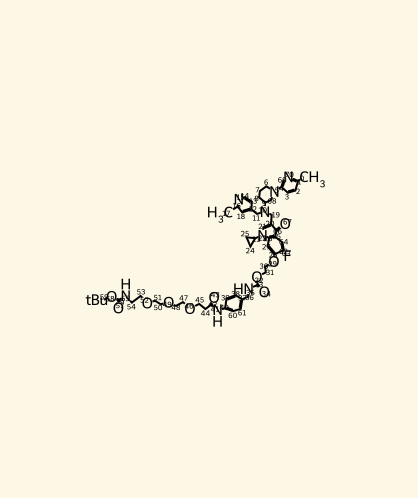 Cc1ccc(N2CCC[C@H](N(Cc3ccnc(C)c3)Cc3cn(C4CC4)c4cc(OCCOC(=O)NCc5ccc(NC(=O)CCOCCOCCOCCNC(=O)OC(C)(C)C)cc5)c(F)cc4c3=O)C2)cn1